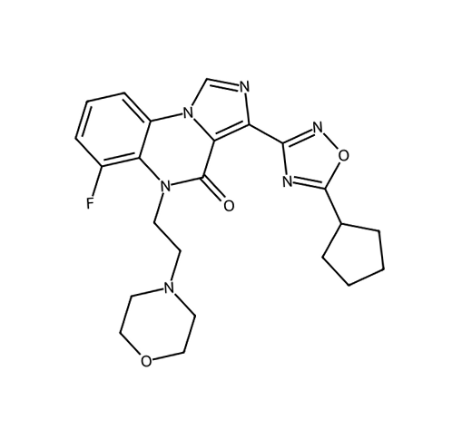 O=c1c2c(-c3noc(C4CCCC4)n3)ncn2c2cccc(F)c2n1CCN1CCOCC1